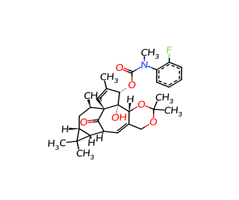 CC1=C[C@]23C(=O)[C@@H](C=C4COC(C)(C)O[C@H]4[C@]2(O)[C@H]1OC(=O)N(C)c1ccccc1F)[C@H]1[C@@H](C[C@H]3C)C1(C)C